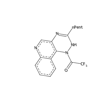 CCCCCC1=Nc2cnc3ccccc3c2N(C(=O)C(F)(F)F)N1